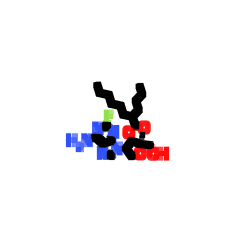 CCCCCCC(CCCC)C(=O)O[C@H]1[C@H](n2cnc3c(N)nc(F)nc32)CO[C@]1(C)CO